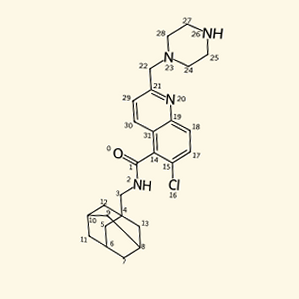 O=C(NCC12CC3CC(CC(C3)C1)C2)c1c(Cl)ccc2nc(CN3CCNCC3)ccc12